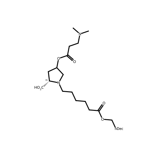 CCCCCCCCCCCOC(=O)CCCCCN1CC(OC(=O)CCN(C)C)C[C@H]1C(=O)O